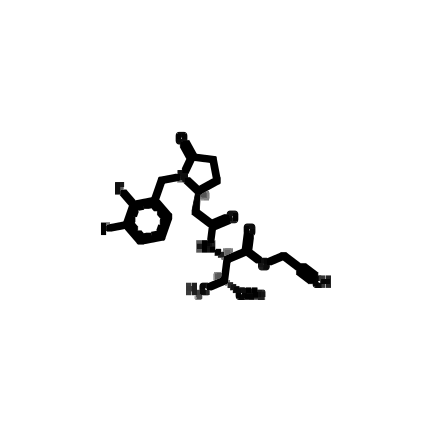 C#CCOC(=O)[C@@H](NC(=O)C[C@@H]1CCC(=O)N1Cc1cccc(F)c1F)[C@@H](C)OC